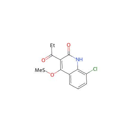 CCC(=O)c1c(OSC)c2cccc(Cl)c2[nH]c1=O